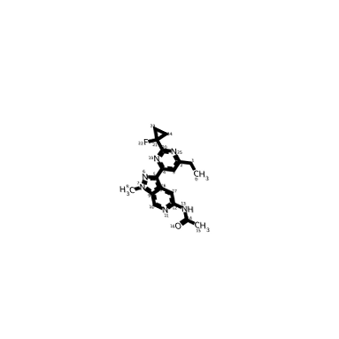 CCc1cc(-c2nn(C)c3cnc(NC(C)=O)cc23)nc(C2(F)CC2)n1